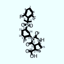 CC(C)(c1c(F)cccc1F)S(=O)(=O)c1ccc(F)c(-n2c(=O)[nH]c3csc(C(=O)O)c3c2=O)c1